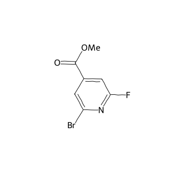 COC(=O)c1cc(F)nc(Br)c1